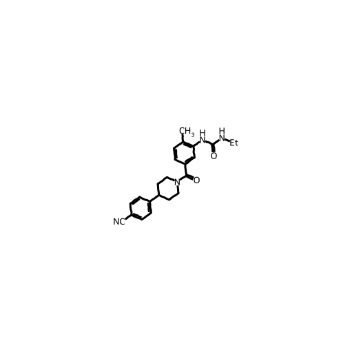 CCNC(=O)Nc1cc(C(=O)N2CCC(c3ccc(C#N)cc3)CC2)ccc1C